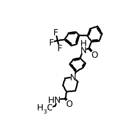 CCNC(=O)C1CCN(c2ccc(NC(=O)c3ccccc3-c3ccc(C(F)(F)F)cc3)cc2)CC1